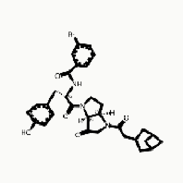 O=C(N[C@@H](Cc1ccc(O)cc1)C(=O)N1CC[C@@H]2[C@H]1C(=O)CN2C(=O)CC1CC2CC(C1)C2)c1cccc(Br)c1